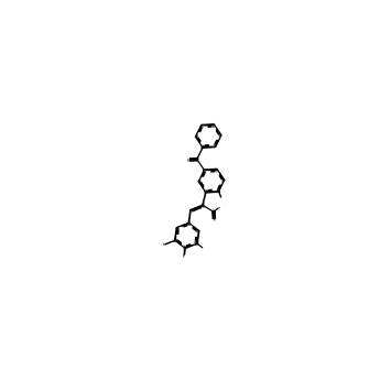 O=C1Nc2ccc(C(=O)c3ccccc3)cc2/C1=C/c1cc(Cl)c(O)c(Cl)c1